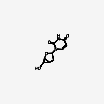 O=c1ccn(C2CC3C(O)C3O2)c(=O)[nH]1